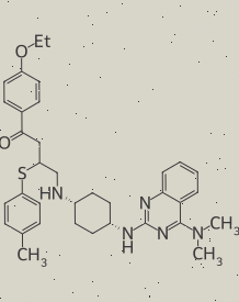 CCOc1ccc(C(=O)CC(CN[C@H]2CC[C@@H](Nc3nc(N(C)C)c4ccccc4n3)CC2)Sc2ccc(C)cc2)cc1